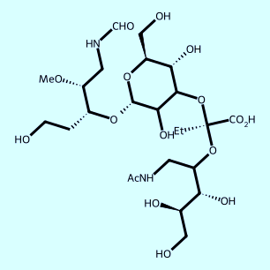 CC[C@@](OC1C(O)[C@H](O[C@H](CCO)[C@@H](CNC=O)OC)O[C@@H](CO)[C@@H]1O)(OC(CNC(C)=O)[C@H](O)[C@H](O)CO)C(=O)O